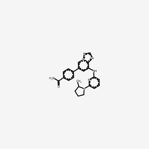 CC1CCCN1c1cccc(Nc2cc(-c3ccc(C(N)=O)cc3)cn3ncnc23)n1